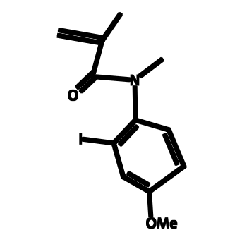 C=C(C)C(=O)N(C)c1ccc(OC)cc1I